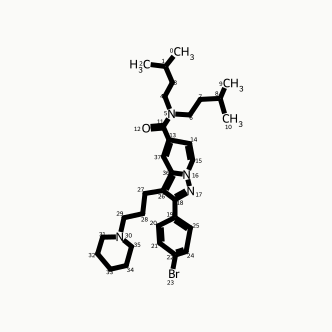 CC(C)CCN(CCC(C)C)C(=O)c1ccn2nc(-c3ccc(Br)cc3)c(CCCN3CCCCC3)c2c1